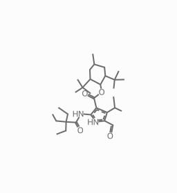 CCC(CC)(CC)C(=O)Nc1[nH]c(C=O)c(C(C)C)c1C(=O)OC1C(C(C)(C)C)CC(C)CC1C(C)(C)C